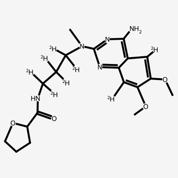 [2H]c1c(OC)c(OC)c([2H])c2c(N)nc(N(C)C([2H])([2H])C([2H])([2H])C([2H])([2H])NC(=O)C3CCCO3)nc12